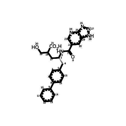 O=C(N[C@H](Cc1ccc(-c2ccccc2)cc1)CC(CO)C(=O)O)c1cnc2nn[nH]c2c1